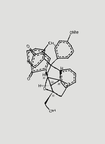 COc1ccc(C(N[C@H]2[C@H]3OC[C@]2(CO)O[C@H]3n2cc(C)c(=O)[nH]c2=O)(c2ccccc2)c2ccccc2)cc1